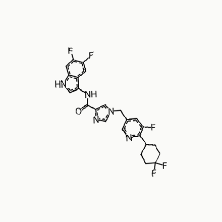 O=C(Nc1c[nH]c2cc(F)c(F)cc12)c1cn(Cc2cnc(C3CCC(F)(F)CC3)c(F)c2)cn1